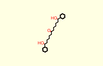 O=C(CCCCCC(O)c1ccccc1)CCCCCC(O)c1ccccc1